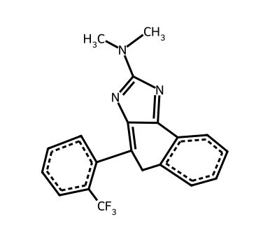 CN(C)C1=NC2=C(c3ccccc3C(F)(F)F)Cc3ccccc3C2=N1